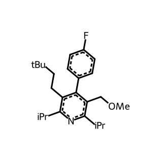 COCc1c(C(C)C)nc(C(C)C)c(CCC(C)(C)C)c1-c1ccc(F)cc1